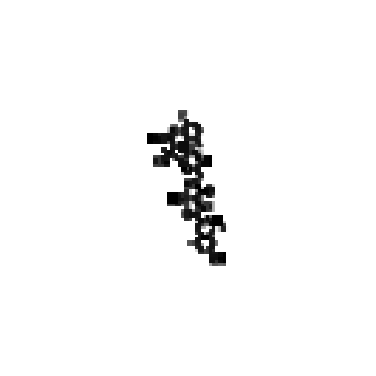 Cc1cc(O)cc(C)c1C[C@H](N)C(=O)N[C@@H](C(=O)NCC(=O)N[C@@H](Cc1ccc(F)cc1)C(=O)N[C@@H](C(=O)O)C(C)(C)S)C(C)(C)S